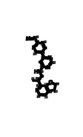 CNc1ncc(-c2cc(NCC(C)c3nccc4c3OCC4)ncn2)cn1